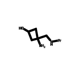 CC(C)NCC1(N)CC(O)C1